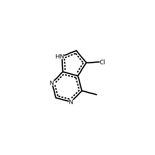 Cc1ncnc2[nH]cc(Cl)c12